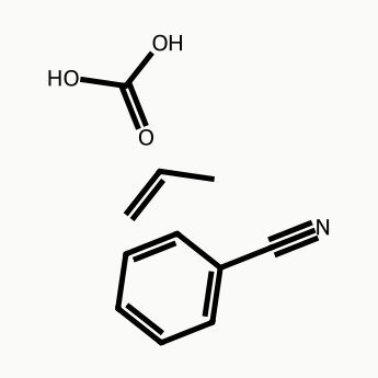 C=CC.N#Cc1ccccc1.O=C(O)O